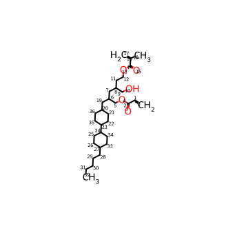 C=CC(=O)OCC(CC(CO)CCOC(=O)C(=C)C)CC1CCC(C2CCC(CCCCC)CC2)CC1